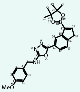 COc1ccc(CNc2nnc(-c3ccc4c(c3)C(B3OC(C)(C)C(C)(C)O3)=CC4)o2)cc1